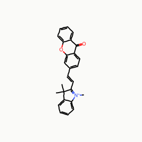 C[N+]1=C(/C=C/c2ccc3c(=O)c4ccccc4oc3c2)C(C)(C)c2ccccc21